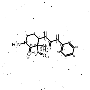 NN1CCC(NC(=O)Nc2ccccc2)[C@](N)([PH2]=O)C1=O